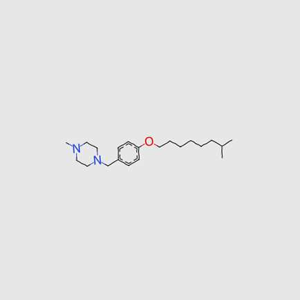 CC(C)CCCCCCOc1ccc(CN2CCN(C)CC2)cc1